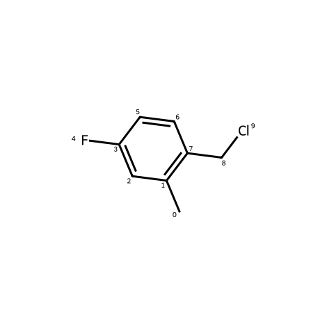 Cc1cc(F)ccc1CCl